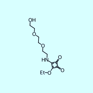 CCOc1c(NCCOCCOCCO)c(=O)c1=O